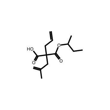 C=CCC(CC(=C)C)(C(=O)O)C(=O)OC(C)CC